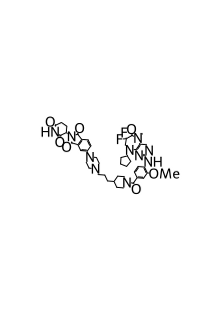 COc1cc(C(=O)N2CCC(CCCN3CCN(c4ccc5c(c4)C(=O)N(C4CCC(=O)NC4=O)C5=O)CC3)CC2)ccc1Nc1ncc2c(n1)N(C1CCCC1)CC(F)(F)C(=O)N2C